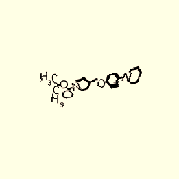 CC(C)OC(=O)N1CCC(COc2ccc(N3CCCCC3)cc2)CC1